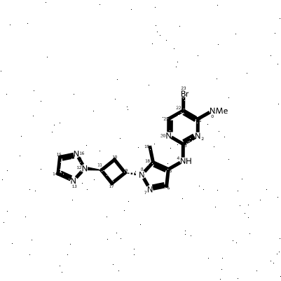 CNc1nc(Nc2cnn([C@H]3C[C@H](n4nccn4)C3)c2C)ncc1Br